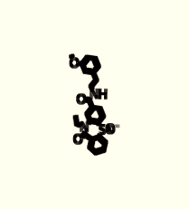 CCN1C(=O)c2ccccc2[S+]([O-])c2ccc(C(=O)NCCc3cccc(OC)c3)cc21